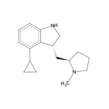 CN1CCC[C@@H]1C[C@H]1CNc2cccc(C3CC3)c21